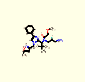 COCC(=O)N(CC(F)CN)C(c1nc(-c2ccccc2)cn1Cc1cc(C)on1)C(C)(C)C